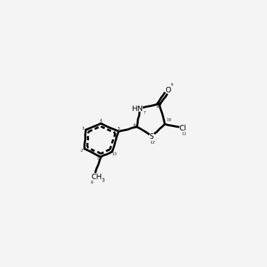 Cc1cccc(C2NC(=O)C(Cl)S2)c1